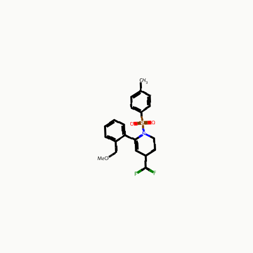 COCc1ccccc1C1=CC(C(F)F)CCN1S(=O)(=O)c1ccc(C)cc1